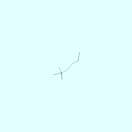 CCCCCCCC(C)(C)N.Cl